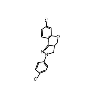 Clc1ccc(N2CC3COc4cc(Cl)ccc4C3=N2)cc1